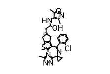 Cc1noc(C)c1NC(O)C[C@@H]1Cc2sc3c(c2C1)C(c1ccccc1Cl)=NC1(CC1)c1nnc(C)n1-3